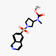 CN(C(=O)OC(C)(C)C)C1CCN(S(=O)(=O)c2ccc3cnccc3c2)C1